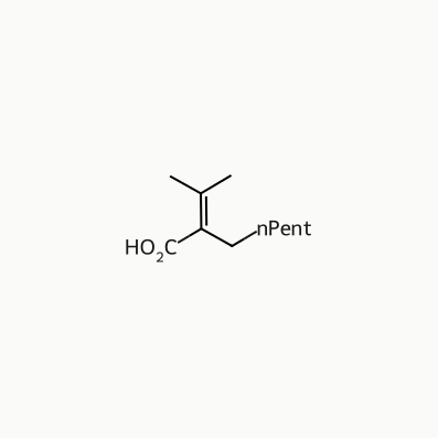 CCCCCCC(C(=O)O)=C(C)C